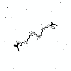 C=C(C)C(=O)OCC[N+](C)(C)CCCC[Si](C)(C)O[Si](C)(C)CC[Si](C)(C)O[Si](C)(C)CCCC[N+](C)(C)CCOC(=O)C(=C)C